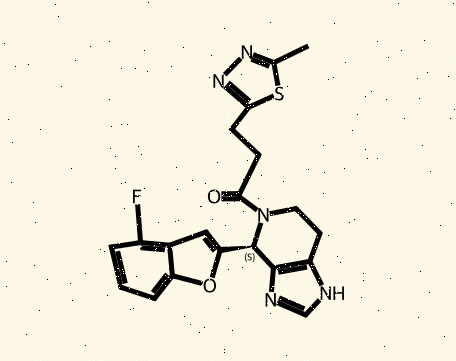 Cc1nnc(CCC(=O)N2CCc3[nH]cnc3[C@H]2c2cc3c(F)cccc3o2)s1